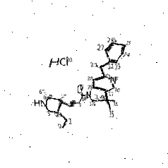 CC[C@H]1CN[C@H](C)CN1CC(=O)N1CC(C)(C)c2cnc(Cc3ccccc3)cc21.Cl